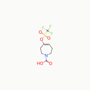 O=C(O)N1CCC=C(OS(=O)(=O)C(F)(F)F)CC1